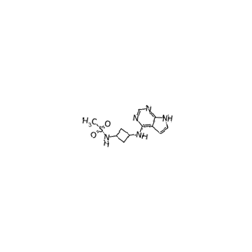 CS(=O)(=O)NC1CC(Nc2ncnc3[nH]ccc23)C1